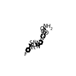 CCc1nc2ccc(N3CCN(S(=O)(=O)CC(N)=O)CC3)cn2c1N(C)c1nc(-c2ccc(F)cc2)cs1